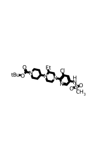 CCC1CN(c2ncc(NS(C)(=O)=O)cc2Cl)CCN1C1CCN(C(=O)OC(C)(C)C)CC1